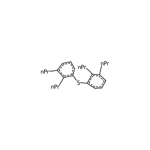 CCCc1cccc(Sc2cccc(CCC)c2CCC)c1CCC